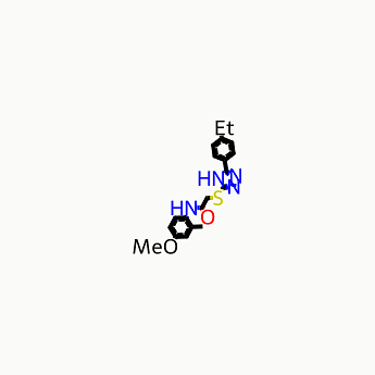 CCc1ccc(-c2nnc(SCC(=O)Nc3ccc(OC)cc3C)[nH]2)cc1